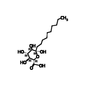 CCCCCCCCCC[C@@]1(O)O[C@H](C(=O)O)[C@@H](O)[C@H](O)[C@H]1O